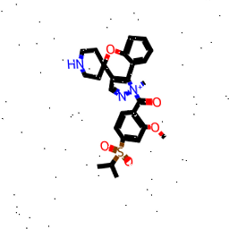 COc1cc(S(=O)(=O)C(C)C)ccc1C(=O)[N+]1(C)N=CC2=C1c1ccccc1OC21CCNCC1